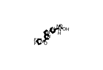 O=C(c1cnc2c(ccn2-c2ccc(C3=NOC(O)N3)nc2)c1)N1CCC(F)(F)CC1